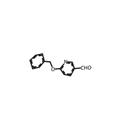 O=[C]c1ccc(OCc2ccccc2)nc1